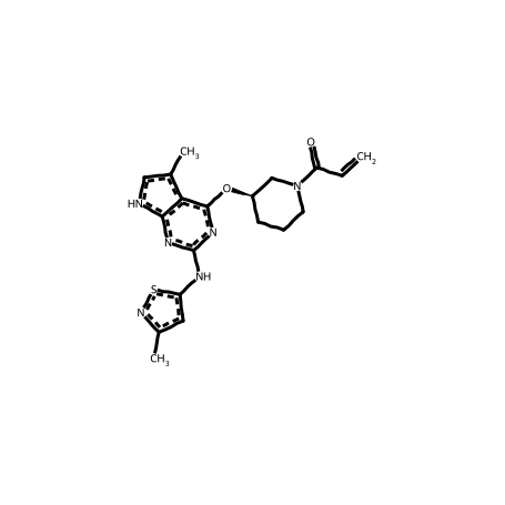 C=CC(=O)N1CCC[C@@H](Oc2nc(Nc3cc(C)ns3)nc3[nH]cc(C)c23)C1